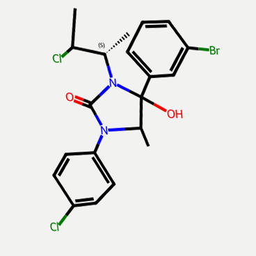 CC(Cl)[C@H](C)N1C(=O)N(c2ccc(Cl)cc2)C(C)C1(O)c1cccc(Br)c1